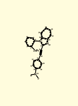 CCCc1ccccc1-n1c(C#Cc2ccc(N(C)C)cc2)nc2ccccc21